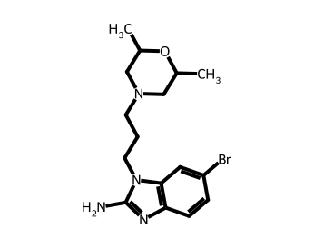 CC1CN(CCCn2c(N)nc3ccc(Br)cc32)CC(C)O1